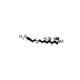 CC#CCCOCCCCC(N)Cc1c[nH]nn1